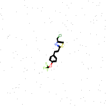 FC(F)(F)Oc1ccc(/C=C/c2nc(CCl)cs2)cc1